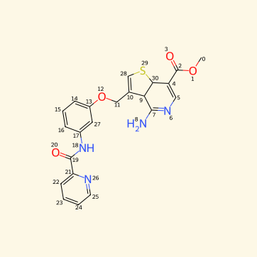 COC(=O)C1=CN=C(N)C2C(COc3cccc(NC(=O)c4ccccn4)c3)=CSC12